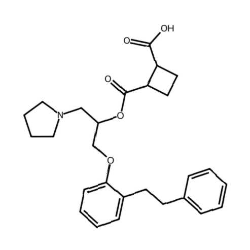 O=C(O)C1CCC1C(=O)OC(COc1ccccc1CCc1ccccc1)CN1CCCC1